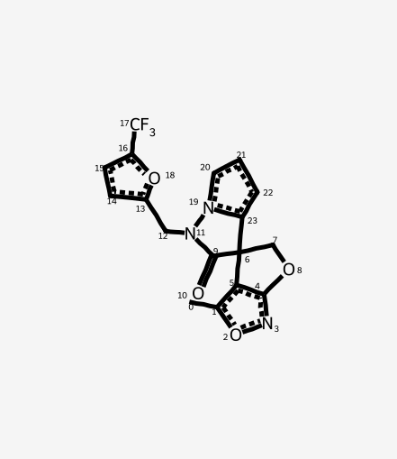 Cc1onc2c1C1(CO2)C(=O)N(Cc2ccc(C(F)(F)F)o2)n2cccc21